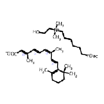 CC1=C(/C=C/C(C)=C\C=C\C(C)=C\C(=O)[O-])C(C)(C)CCC1.CCCCCCCCCCCCCCCC[N+](C)(C)CCO